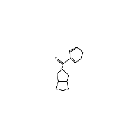 O=C(C1=CCCC=C1)N1CC2CCCC2C1